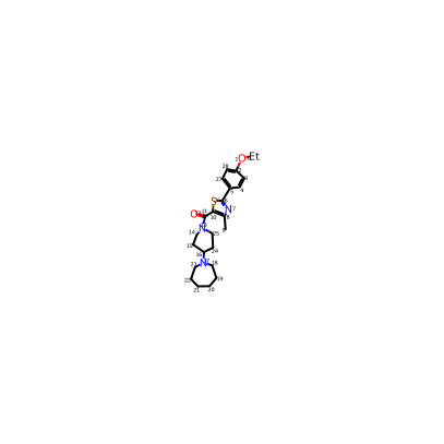 CCOc1ccc(-c2nc(C)c(C(=O)N3CCC(N4CCCCCC4)CC3)s2)cc1